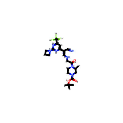 CC1CN(C(=O)OC(C)(C)C)CCN1C(=O)CN/C=C(\C=N)c1cc(C(F)(F)F)nc(N2CCC2)n1